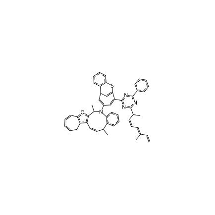 C=C/C(C)=C/C=C\C(C)c1nc(C2=CC(N3c4ccccc4C(C)/C=C\c4c(oc5c4CC=CC=C5)C3C)=CC3C=C2Sc2ccccc23)nc(-c2ccccc2)n1